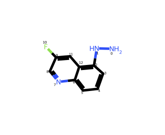 NNc1cccc2ncc(F)cc12